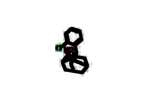 O[C@]12CC3CC(C1)[C@H](Cc1ccccc1Cl)C(C3)C2